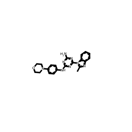 Cc1nc2ccccc2n1-c1nc(N)nc(Nc2ccc(N3CCOCC3)cc2)n1